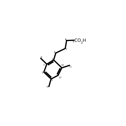 Cc1cc(C)c(CCCC(=O)O)c(C)c1